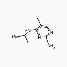 Cc1cnc(N)nc1N[C@@H](C)C(C)(C)C